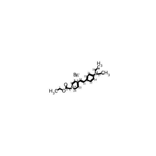 CCOC(=O)C[n+]1ccc(C=Cc2ccc(N(CC)CC)cc2)cc1.[Br-]